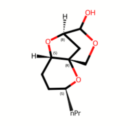 CCC[C@H]1CC[C@@H]2O[C@@H]3C[C@]2(COC3O)O1